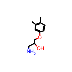 Cc1ccc(OCC(O)CN)cc1C